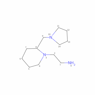 NCCN1CCCCC1CN1CCCC1